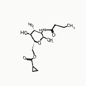 CCCC(=O)N[C@H]1C(O)O[C@H](COC(=O)C2CC2)[C@@H](O)[C@@H]1O